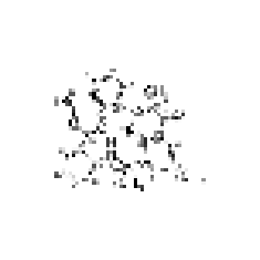 Cc1cc([C@@H](C)Nc2ccccc2C(=O)OC(C)(C)C)c2nc(-c3cccnc3)c(C)c(=O)n2c1